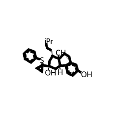 CC(C)CC[C@H]1C[C@](O)(C2(Sc3ccccc3)CC2)C[C@@H]2c3ccc(O)cc3CC[C@@]12C